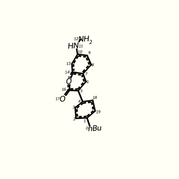 CCCCc1ccc(-c2cc3ccc(NN)cc3oc2=O)cc1